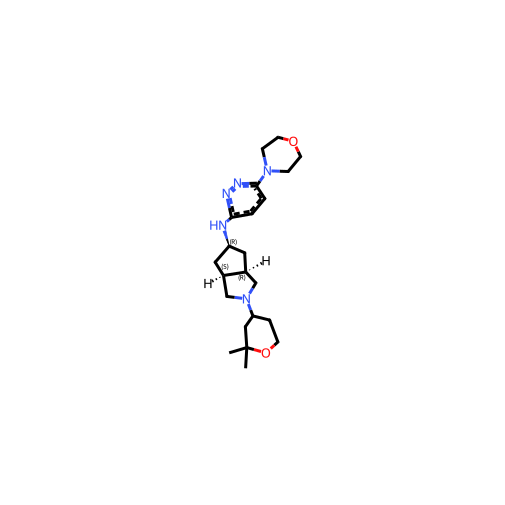 CC1(C)CC(N2C[C@H]3C[C@@H](Nc4ccc(N5CCOCC5)nn4)C[C@H]3C2)CCO1